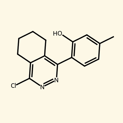 Cc1ccc(-c2nnc(Cl)c3c2CCCC3)c(O)c1